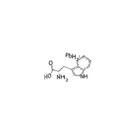 N[C@@H](Cc1c[nH]c2ccccc12)C(=O)O.[PbH2]